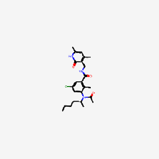 CCCCC(C)N(C(C)=O)c1cc(Cl)cc(C(=O)NCc2c(C)cc(C)[nH]c2=O)c1C